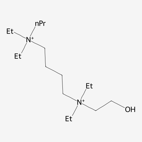 CCC[N+](CC)(CC)CCCC[N+](CC)(CC)CCO